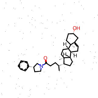 CC(CCC(=O)N1CC[C@H](c2ccccc2)C1)[C@H]1CC[C@H]2[C@@H]3CC=C4C[C@@H](O)CC[C@]4(C)[C@H]3CC[C@]12C